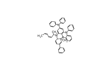 C/C=C\C=C/C(C)N1c2cc(N(c3ccccc3)c3ccccc3)cc3c2B(c2ccccc2N3c2ccccc2)C2(C)C=C(c3ccccc3)C=CC12